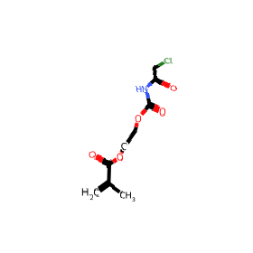 C=C(C)C(=O)OCCOC(=O)NC(=O)CCl